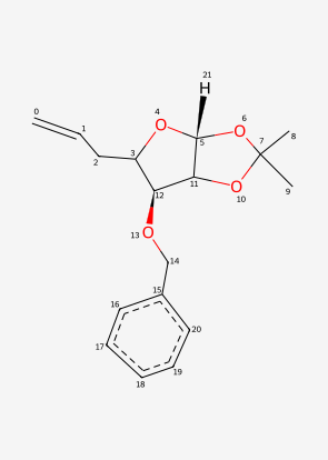 C=CCC1O[C@@H]2OC(C)(C)OC2[C@H]1OCc1ccccc1